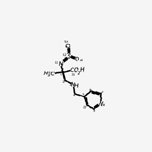 CC(CNCc1ccncc1)(N=S(=O)=O)C(=O)O